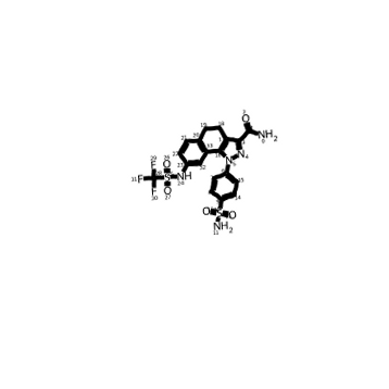 NC(=O)c1nn(-c2ccc(S(N)(=O)=O)cc2)c2c1CCc1ccc(NS(=O)(=O)C(F)(F)F)cc1-2